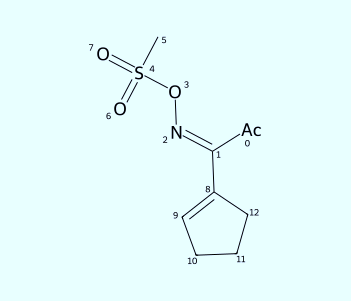 CC(=O)C(=NOS(C)(=O)=O)C1=CCCC1